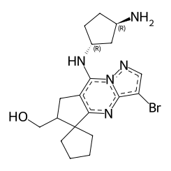 N[C@@H]1CC[C@@H](Nc2c3c(nc4c(Br)cnn24)C2(CCCC2)C(CO)C3)C1